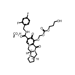 CC(=O)O.O=C(OCCCO)OCOc1c2n(cc(C(=O)NCc3ccc(F)cc3F)c1=O)C[C@@H]1N(C[C@H]3CCCN31)C2=O